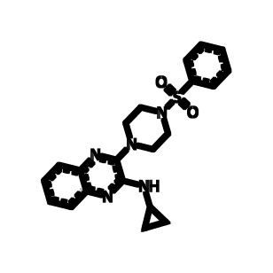 O=S(=O)(c1ccccc1)N1CCN(c2nc3ccccc3nc2NC2CC2)CC1